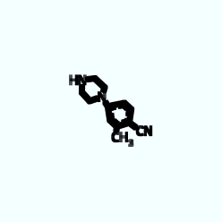 Cc1cc(N2CCNCC2)ccc1C#N